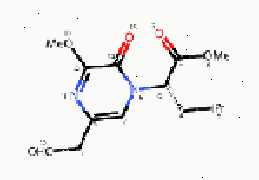 COC(=O)[C@H](CC(C)C)n1cc(CC=O)nc(OC)c1=O